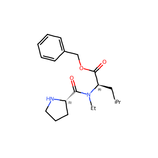 CCN(C(=O)[C@@H]1CCCN1)[C@H](CC(C)C)C(=O)OCc1ccccc1